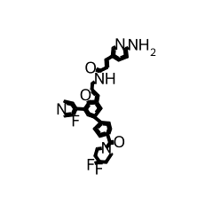 Nc1ccc(/C=C/C(=O)NCc2cc3cc(-c4ccc(C(=O)N5CCC(F)(F)CC5)cc4)cc(-c4ccncc4F)c3o2)cn1